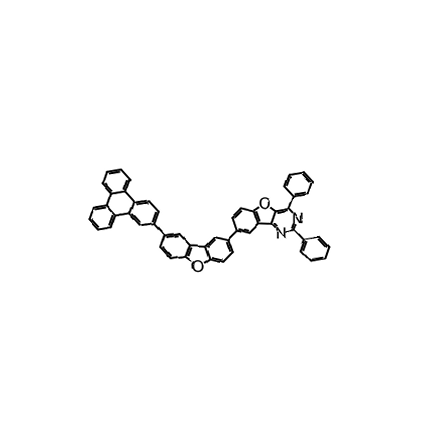 c1ccc(-c2nc(-c3ccccc3)c3oc4ccc(-c5ccc6oc7ccc(-c8ccc9c%10ccccc%10c%10ccccc%10c9c8)cc7c6c5)cc4c3n2)cc1